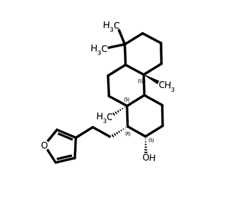 CC1(C)CCC[C@@]2(C)C1CC[C@@]1(C)C2CC[C@H](O)[C@@H]1CCc1ccoc1